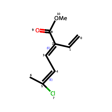 C=C/C(=C\C=C(/C)Cl)C(=O)OC